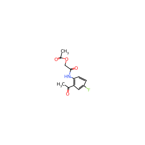 CC(=O)OCC(=O)Nc1ccc(F)cc1C(C)=O